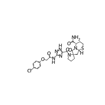 NC(=O)[C@H]1CCS[C@@H]2C[C@]3(CCCN3C(=O)c3nc(NC(=O)COc4ccc(Cl)cc4)n[nH]3)C(=O)N12